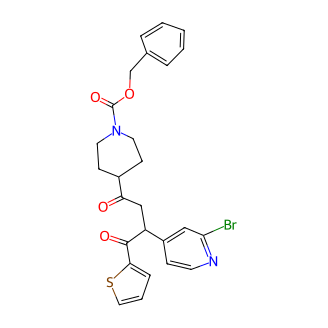 O=C(CC(C(=O)c1cccs1)c1ccnc(Br)c1)C1CCN(C(=O)OCc2ccccc2)CC1